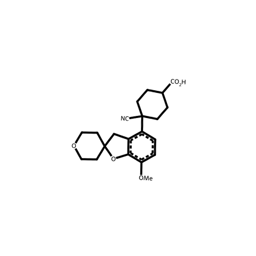 COc1ccc(C2(C#N)CCC(C(=O)O)CC2)c2c1OC1(CCOCC1)C2